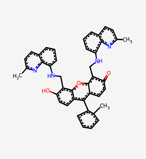 Cc1ccc2cccc(NCc3c4oc5c(CNc6cccc7ccc(C)nc67)c(O)ccc5c(-c5ccccc5C)c-4ccc3=O)c2n1